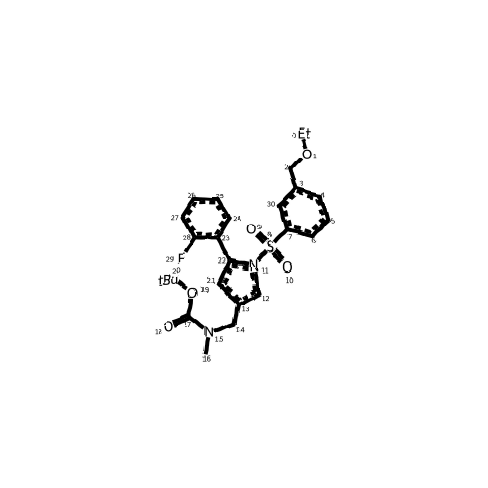 CCOCc1cccc(S(=O)(=O)n2cc(CN(C)C(=O)OC(C)(C)C)cc2-c2ccccc2F)c1